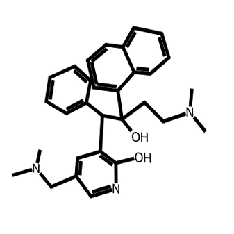 CN(C)CCC(O)(C1=C=C=Cc2ccccc21)C(c1ccccc1)c1cc(CN(C)C)cnc1O